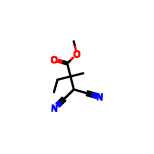 CCC(C)(C(=O)OC)C(C#N)C#N